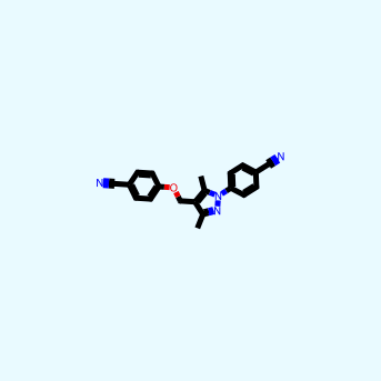 Cc1nn(-c2ccc(C#N)cc2)c(C)c1COc1ccc(C#N)cc1